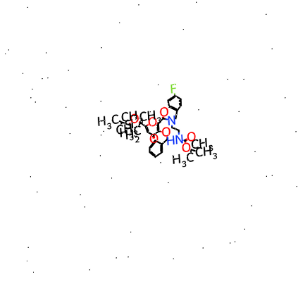 CC(C)(C)OC(=O)NCCN(Cc1ccc(F)cc1)C(=O)c1oc(C(C)(C)O[SiH2]C(C)(C)C)cc(=O)c1OCc1ccccc1